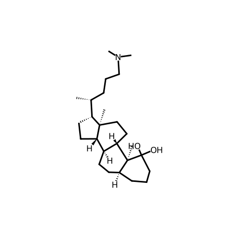 C[C@H](CCCN(C)C)[C@H]1CC[C@H]2[C@@H]3CC[C@@H]4CCCC(O)(O)[C@]4(C)[C@H]3CC[C@]12C